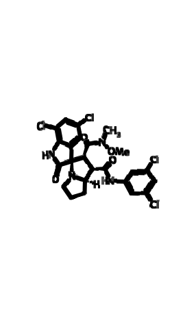 CON(C)C(=O)[C@H]1[C@@H](C(=O)Nc2cc(Cl)cc(Cl)c2)[C@H]2CCCN2[C@]12C(=O)Nc1c(Cl)cc(Cl)cc12